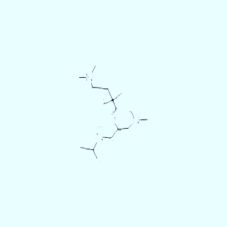 CC(C)NCC(CN(C)C)OCC(C)(C)CCN(C)C